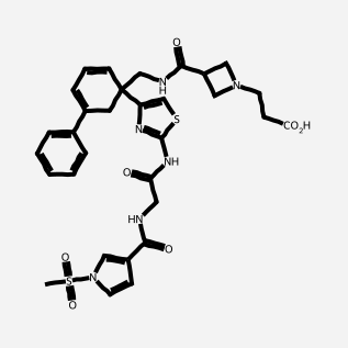 CS(=O)(=O)n1ccc(C(=O)NCC(=O)Nc2nc(C3(CNC(=O)C4CN(CCC(=O)O)C4)C=CC=C(c4ccccc4)C3)cs2)c1